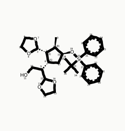 C[C@@H]1[C@@H](C2OCCO2)[C@@H](C(CO)C2OCCO2)C[C@@H]1O[Si](c1ccccc1)(c1ccccc1)C(C)(C)C